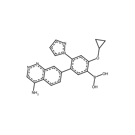 Nc1cnnc2cc(-c3cc(B(O)O)c(OC4CC4)cc3-n3cccn3)ccc12